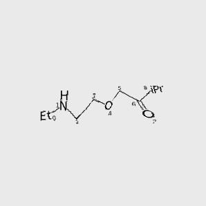 CCNCCOCC(=O)C(C)C